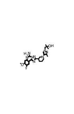 COc1cc2nc(N)n3nc(C4CCCN(c5cn(CC(C)(C)O)nc5C)C4)nc3c2cc1F